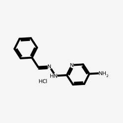 Cl.Nc1ccc(N/N=C/c2ccccc2)nc1